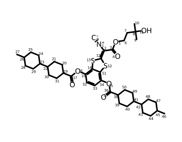 [C-]#[N+]C(C(=O)OCCC(C)(C)O)=C1Sc2c(OC(=O)C3CCC(C4CCC(C)CC4)CC3)ccc(OC(=O)C3CCC(C4CCC(C)CC4)CC3)c2S1